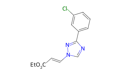 CCOC(=O)C=Cn1cnc(-c2cccc(Cl)c2)n1